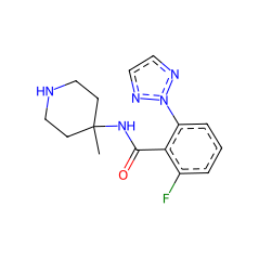 CC1(NC(=O)c2c(F)cccc2-n2nccn2)CCNCC1